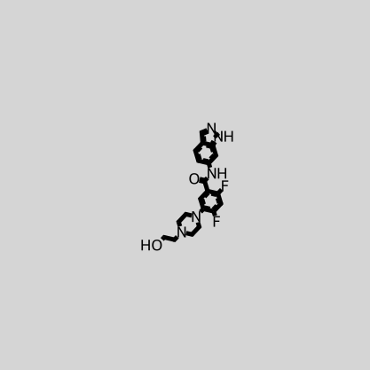 O=C(Nc1ccc2cn[nH]c2c1)c1cc(N2CCN(CCO)CC2)c(F)cc1F